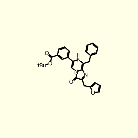 CC(C)(C)OC(=O)c1cccc(-c2cn3c(=O)c(Cc4ccco4)nc-3c(Cc3ccccc3)[nH]2)c1